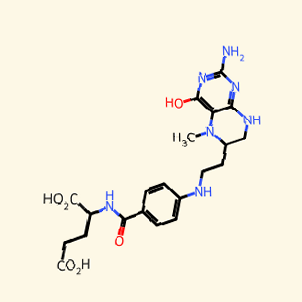 CN1c2c(O)nc(N)nc2NCC1CCNc1ccc(C(=O)NC(CCC(=O)O)C(=O)O)cc1